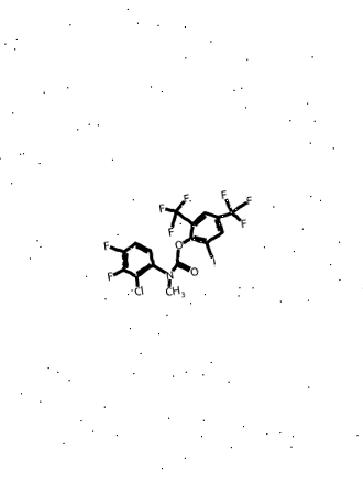 CN(C(=O)Oc1c(I)cc(C(F)(F)F)cc1C(F)(F)F)c1ccc(F)c(F)c1Cl